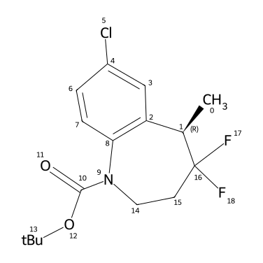 C[C@@H]1c2cc(Cl)ccc2N(C(=O)OC(C)(C)C)CCC1(F)F